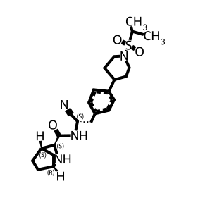 CC(C)S(=O)(=O)N1CCC(c2ccc(C[C@@H](C#N)NC(=O)[C@H]3N[C@@H]4CC[C@H]3C4)cc2)CC1